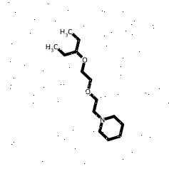 CCC(CC)OCCOCCN1CCCCC1